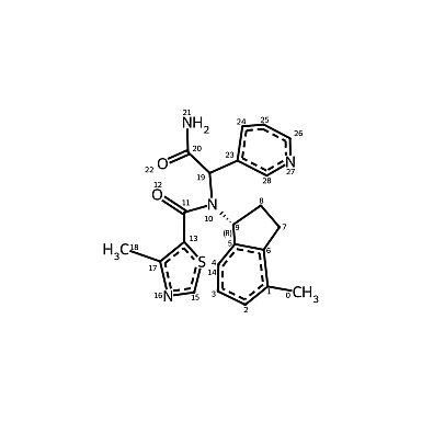 Cc1cccc2c1CC[C@H]2N(C(=O)c1scnc1C)C(C(N)=O)c1cccnc1